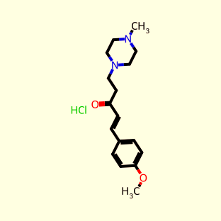 COc1ccc(C=CC(=O)CCN2CCN(C)CC2)cc1.Cl